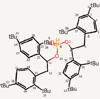 CC(C)(C)c1ccc(CC(O[PH](=O)OC(Cc2ccc(C(C)(C)C)cc2C(C)(C)C)c2ccc(C(C)(C)C)cc2C(C)(C)C)c2ccc(C(C)(C)C)cc2C(C)(C)C)c(C(C)(C)C)c1